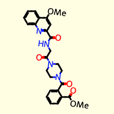 COC(=O)c1ccccc1C(=O)N1CCN(C(=O)CNC(=O)c2cc(OC)c3ccccc3n2)CC1